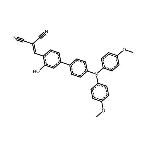 COc1ccc(N(c2ccc(OC)cc2)c2ccc(-c3ccc(C=C(C#N)C#N)c(O)c3)cc2)cc1